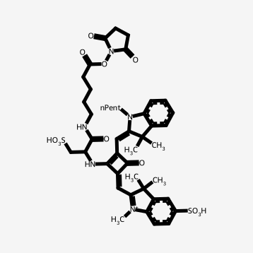 CCCCCN1/C(=C/C2=C(NC(CS(=O)(=O)O)C(=O)NCCCCC(=O)ON3C(=O)CCC3=O)C(=C/C3=[N+](C)c4ccc(S(=O)(=O)O)cc4C3(C)C)/C2=O)C(C)(C)c2ccccc21